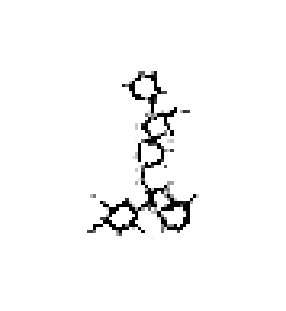 Cc1cccn2c(-c3cc(F)c(F)cc3F)c(CN3CCC4(CC3)CN(c3ccccc3)C(=O)O4)nc12